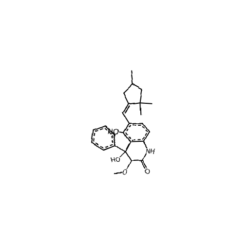 COC1C(=O)Nc2ccc(C=C3CC(C)CC3(C)C)c(O)c2C1(O)c1ccccc1